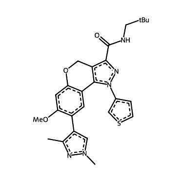 COc1cc2c(cc1-c1cn(C)nc1C)-c1c(c(C(=O)NCC(C)(C)C)nn1-c1ccsc1)CO2